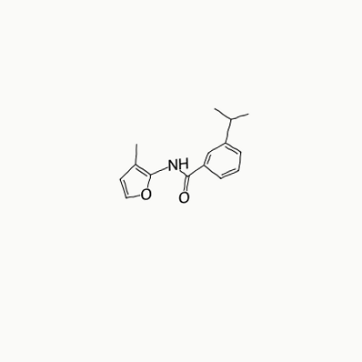 Cc1ccoc1NC(=O)c1cccc(C(C)C)c1